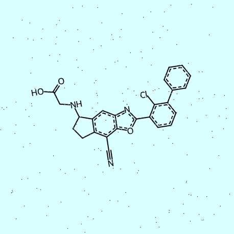 N#Cc1c2c(cc3nc(-c4cccc(-c5ccccc5)c4Cl)oc13)C(NCC(=O)O)CC2